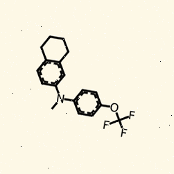 CN(c1ccc(OC(F)(F)F)cc1)c1ccc2c(c1)CCCC2